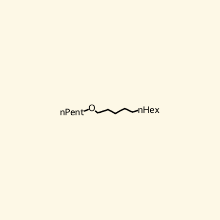 [CH2]CCCCOCCCCCCCCCCC